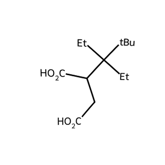 CCC(CC)(C(CC(=O)O)C(=O)O)C(C)(C)C